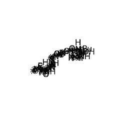 Cc1ncsc1-c1ccc([C@H](C)NC(=O)[C@@H]2C[C@@H](O)CN2C(=O)[C@@H](NC(=O)CCC(=O)NCCOCCN2CCN(CC(=O)NCc3cccc(CNc4cc(N5CCC6(CC5)CN(c5cc(F)c(CN7CCC(C)(C)CC7)cc5F)CC(=O)N6)ncn4)c3)CC2)C(C)(C)C)cc1